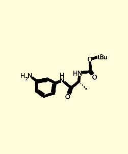 C[C@@H](NC(=O)OC(C)(C)C)C(=O)Nc1cccc(N)c1